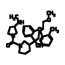 CNC1CCN(C(=O)N2CCCC(C(O)(CCCCOC)c3ccccc3Oc3ccccc3C)C2)C1